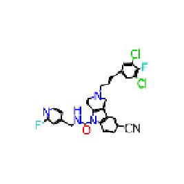 N#Cc1ccc2c(c1)c1c(n2C(=O)NCc2ccnc(F)c2)CCN(C/C=C/c2cc(Cl)c(F)c(Cl)c2)C1